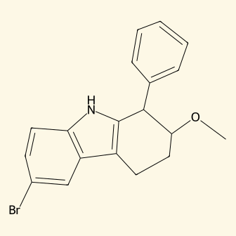 COC1CCc2c([nH]c3ccc(Br)cc23)C1c1ccccc1